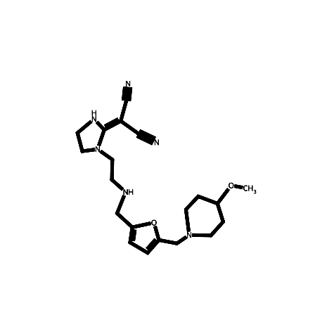 COC1CCN(Cc2ccc(CNCCN3CCNC3=C(C#N)C#N)o2)CC1